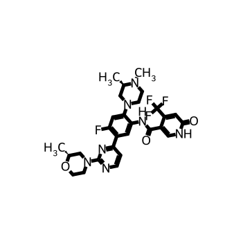 C[C@@H]1CN(c2nccc(-c3cc(NC(=O)c4c[nH]c(=O)cc4C(F)(F)F)c(N4CCN(C)[C@H](C)C4)cc3F)n2)CCO1